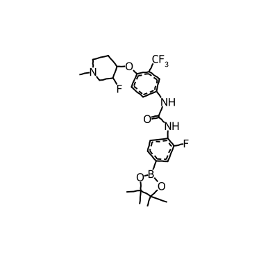 CN1CCC(Oc2ccc(NC(=O)Nc3ccc(B4OC(C)(C)C(C)(C)O4)cc3F)cc2C(F)(F)F)C(F)C1